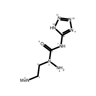 CNCCN(N)C(=O)Nc1nnn[nH]1